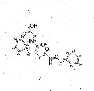 O=C(O)CNC(=O)C(CC(=O)NOCc1ccccc1)Cc1ccccc1